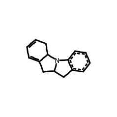 C1=CCC2C(=C1)CC1Cc3ccccc3N12